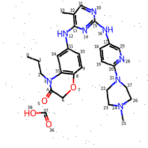 CCCN1C(=O)COc2ccc(Nc3nc(Nc4ccc(N5CCN(C)CC5)nc4)ncc3C)cc21.O=CO